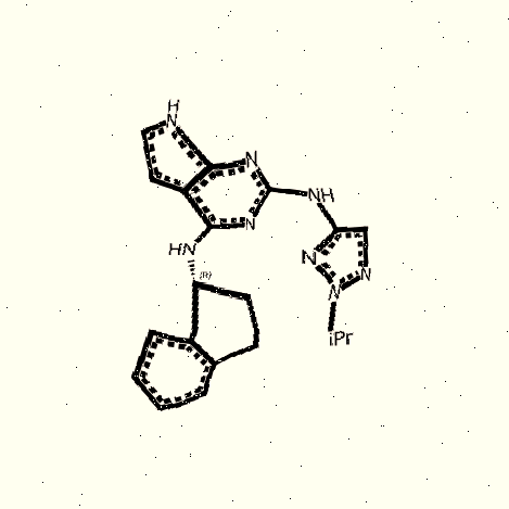 CC(C)n1ncc(Nc2nc(N[C@@H]3CCc4ccccc43)c3cc[nH]c3n2)n1